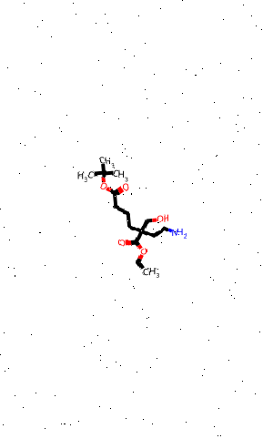 CCOC(=O)C(CO)(CCN)CCCC(=O)OC(C)(C)C